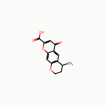 CC1CCOc2cc3oc(C(=O)O)cc(=O)c3cc21